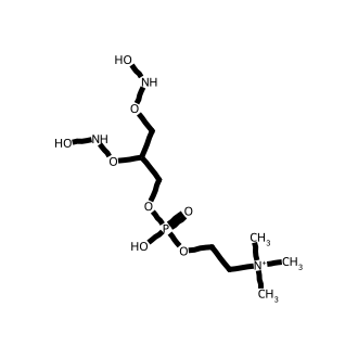 C[N+](C)(C)CCOP(=O)(O)OCC(CONO)ONO